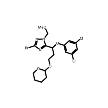 COCn1nc(Br)nc1C(CCOC1CCCCO1)Oc1cc(Cl)cc(Cl)c1